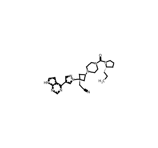 CCC[C@H]1CCCN1C(=O)N1CCN([C@H]2C[C@](CC#N)(n3cc(-c4ncnc5[nH]ccc45)cn3)C2)CC1